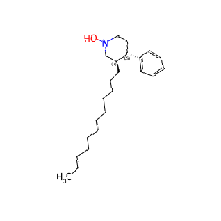 CCCCCCCCCCCC[C@H]1CN(O)CC[C@@H]1c1ccccc1